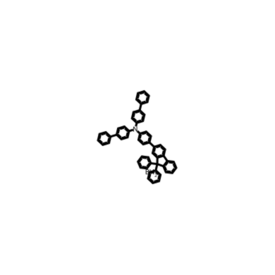 Bc1ccccc1C1(c2ccccc2)c2ccccc2-c2ccc(-c3ccc(N(c4ccc(-c5ccccc5)cc4)c4ccc(-c5ccccc5)cc4)cc3)cc21